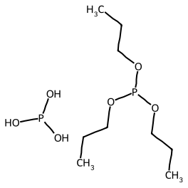 CCCOP(OCCC)OCCC.OP(O)O